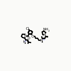 C=C(/C=C(\C)N(C)CCCCOc1ccc(Cl)cc1C(=O)N1CCCCC1/C(C=C(C)C)=N/C)N1CC[C@H](N)C1